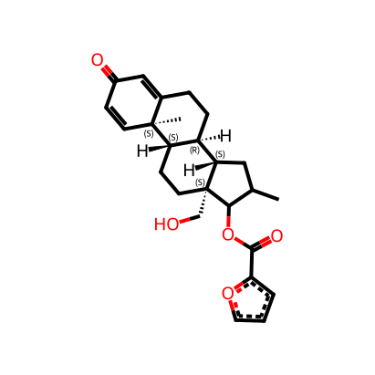 CC1C[C@H]2[C@@H]3CCC4=CC(=O)C=C[C@]4(C)[C@H]3CC[C@]2(CO)C1OC(=O)c1ccco1